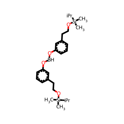 CC(C)[Si](C)(C)OCCc1cccc(OBOc2cccc(CCO[Si](C)(C)C(C)C)c2)c1